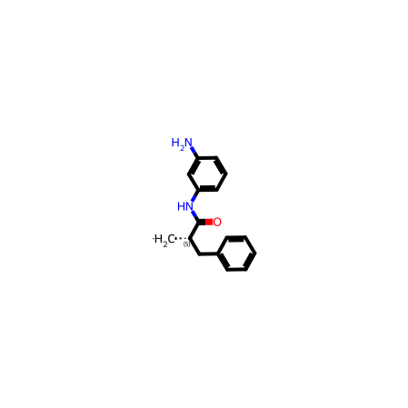 [CH2][C@@H](Cc1ccccc1)C(=O)Nc1cccc(N)c1